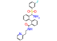 NC(c1ccccc1-c1ccccc1C(=O)NCCc1ccccn1)S(=O)(=O)c1cccc(F)c1